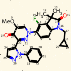 COc1cn(-c2ccc3c(c2F)C(C)(C)C(=O)N3CC2CC2)nc(-c2ccnn2-c2ccccc2)c1=O